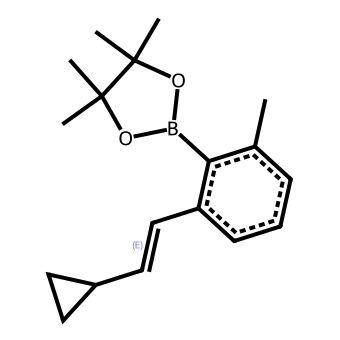 Cc1cccc(/C=C/C2CC2)c1B1OC(C)(C)C(C)(C)O1